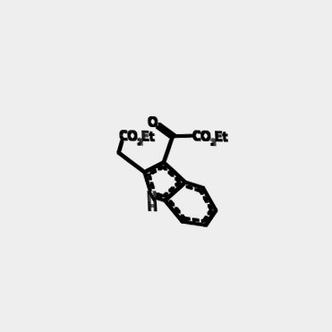 CCOC(=O)Cc1[nH]c2ccccc2c1C(=O)C(=O)OCC